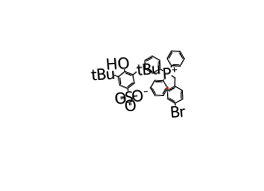 Brc1ccc(C[P+](c2ccccc2)(c2ccccc2)c2ccccc2)cc1.CC(C)(C)c1cc(S(=O)(=O)[O-])cc(C(C)(C)C)c1O